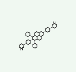 c1ccc(-c2c(-c3ccc(-c4cccnc4)cc3)c(-c3ccccc3)c3ccc4cc(-c5ccc(-c6cccnc6)cc5)cc5ccc2c3c54)cc1